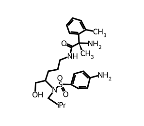 Cc1ccccc1[C@](C)(N)C(=O)NCCCC(CO)N(CC(C)C)S(=O)(=O)c1ccc(N)cc1